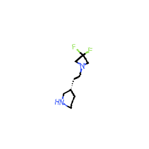 FC1(F)CN(CC[C@@H]2CCNC2)C1